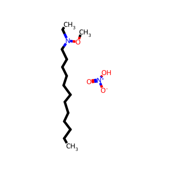 CCCCCCCCCCCCN(CC)OC.O=[N+]([O-])O